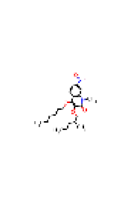 CCCCCCOc1c(OCC(C)CCC)c(=O)n(C)c2cc([N+](=O)[O-])ccc12